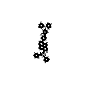 c1ccc(-c2nc(-c3ccccc3)nc(-c3ccc4ccc5c(-c6ccc7c(c6)sc6cc(N(c8ccccc8)c8ccccc8)ccc67)ccc6ccc3c4c65)n2)cc1